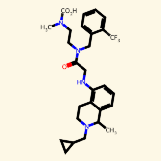 CC1c2cccc(NCC(=O)N(CCN(C)C(=O)O)Cc3ccccc3C(F)(F)F)c2CCN1CC1CC1